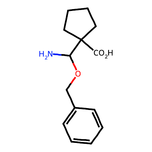 NC(OCc1ccccc1)C1(C(=O)O)CCCC1